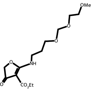 CCOC(=O)C1=C(NCCCOCOCCOC)OCC1=O